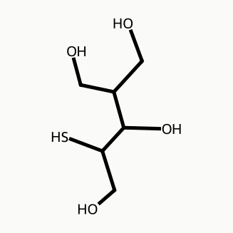 OCC(S)C(O)C(CO)CO